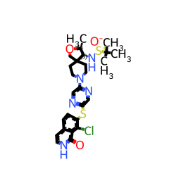 C[C@@H]1OCC2(CCN(c3cnc(Sc4ccc5cc[nH]c(=O)c5c4Cl)cn3)CC2)[C@@H]1N[S+]([O-])C(C)(C)C